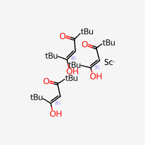 CC(C)(C)C(=O)/C=C(/O)C(C)(C)C.CC(C)(C)C(=O)/C=C(/O)C(C)(C)C.CC(C)(C)C(=O)/C=C(/O)C(C)(C)C.[Sc]